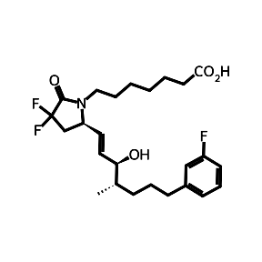 C[C@@H](CCCc1cccc(F)c1)[C@H](O)/C=C/[C@H]1CC(F)(F)C(=O)N1CCCCCCC(=O)O